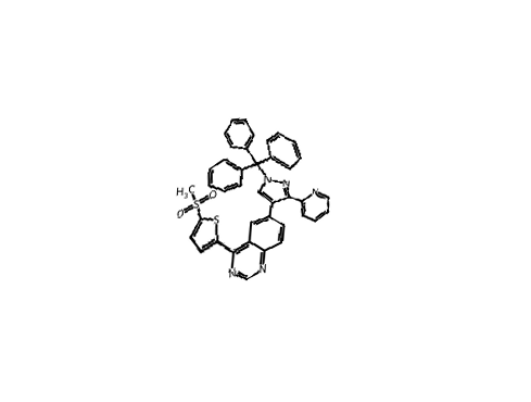 CS(=O)(=O)c1ccc(-c2ncnc3ccc(-c4cn(C(c5ccccc5)(c5ccccc5)c5ccccc5)nc4-c4ccccn4)cc23)s1